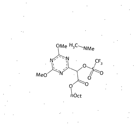 CCCCCCCCOC(=O)C(OS(=O)(=O)C(F)(F)F)c1nc(OC)nc(OC)n1.CNC